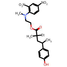 CCC(C)(CC(C)c1ccc(O)cc1)C(=O)OCCN(C)c1ccc([N+](=O)[O-])cc1[N+](=O)[O-]